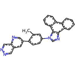 Cc1cc(-n2cnc3c4ccccc4c4ccccc4c32)ccc1-c1cnc2cnncc2c1